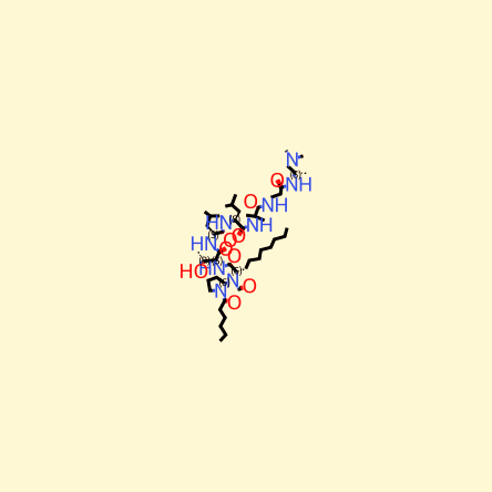 CCCCCCCC[C@@H](C(=O)N[C@H](C(=O)N[C@@H](CC(C)C)C(=O)N[C@@H](CC(C)C)C(=O)NC(C)(C)C(=O)NCCC(=O)N[C@@H](C)CN(C)C)[C@@H](C)O)N(C=O)[C@@H]1CCCN1C(=O)CCCCC